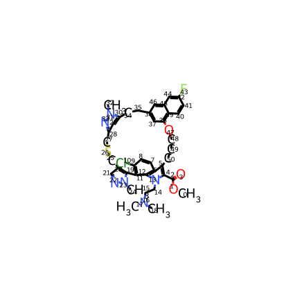 COC(=O)c1c2c3ccc(Cl)c(c3n1CCN(C)C)-c1c(cnn1C)CSCc1cc(n(C)n1)CCc1cc(c3ccc(F)cc3c1)OCCC2